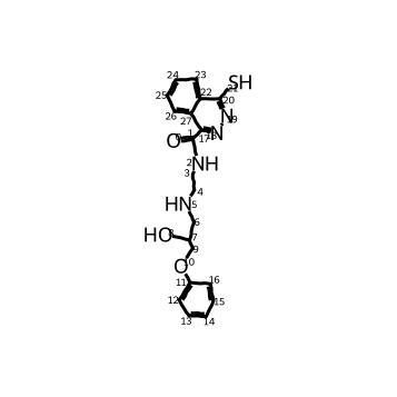 O=C(NCCNCC(O)COc1ccccc1)c1nnc(S)c2ccccc12